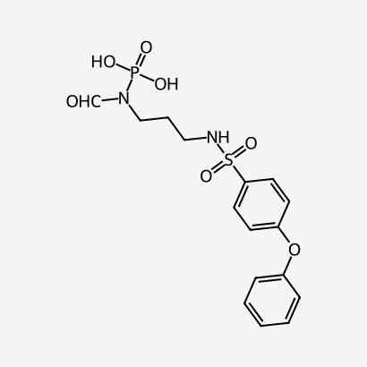 O=CN(CCCNS(=O)(=O)c1ccc(Oc2ccccc2)cc1)P(=O)(O)O